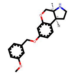 COc1cccc(COc2ccc3c(c2)OC[C@@]2(C)NCC[C@@H]32)c1